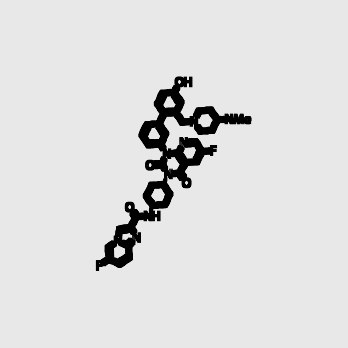 CNC1CCN(Cc2cc(O)ccc2-c2cccc(-n3c(=O)n([C@H]4CC[C@@H](NC(=O)c5cn6cc(F)ccc6n5)CC4)c(=O)c4cc(F)cnc43)c2)CC1